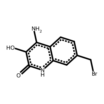 Nc1c(O)c(=O)[nH]c2cc(CBr)ccc12